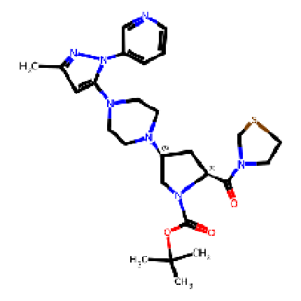 Cc1cc(N2CCN([C@H]3C[C@@H](C(=O)N4CCSC4)N(C(=O)OC(C)(C)C)C3)CC2)n(-c2cccnc2)n1